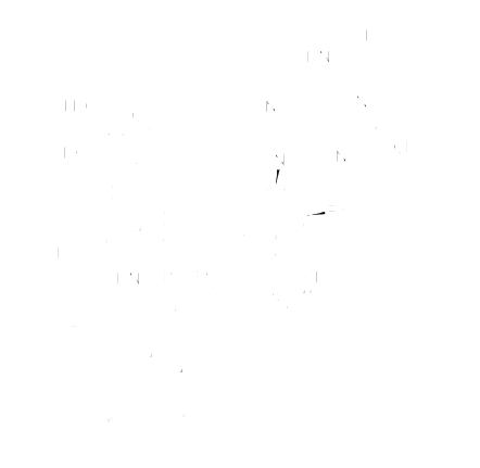 CNc1nc(C)nc2c1ncn2[C@@H]1O[C@](CCl)(COP(=S)(N[C@H](C)C(=O)OCC(C)(C)C)Oc2cccc3ccccc23)[C@@H](O)[C@@H]1F